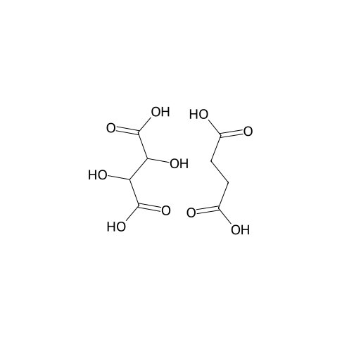 O=C(O)C(O)C(O)C(=O)O.O=C(O)CCC(=O)O